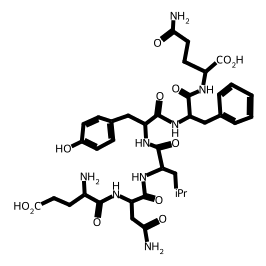 CC(C)CC(NC(=O)C(CC(N)=O)NC(=O)C(N)CCC(=O)O)C(=O)NC(Cc1ccc(O)cc1)C(=O)NC(Cc1ccccc1)C(=O)NC(CCC(N)=O)C(=O)O